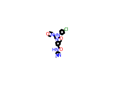 Cc1cc(C(=O)Nc2cnn(C)c2)ccc1N(CCN1CCOCC1)C(=O)Nc1ccc(Cl)cc1